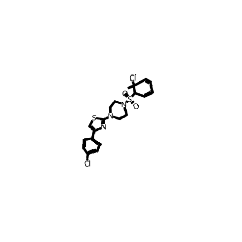 CC1(Cl)C=CC=CC1S(=O)(=O)N1CCN(c2nc(-c3ccc(Cl)cc3)cs2)CC1